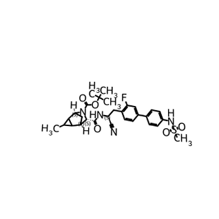 CC1C2C1[C@@H]1C[C@H]2[C@@H](C(=O)N[C@H](C#N)Cc2ccc(-c3ccc(NS(C)(=O)=O)cc3)cc2F)N1C(=O)OC(C)(C)C